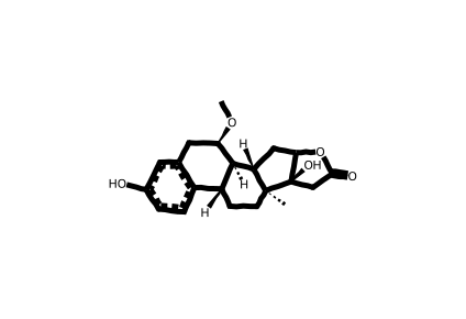 CO[C@@H]1Cc2cc(O)ccc2[C@H]2CC[C@@]3(C)[C@@H](CC4OC(=O)C[C@@]43O)[C@@H]21